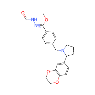 CO/C(=N\NC=O)c1ccc(CN2CCCC2c2ccc3c(c2)OCCO3)cc1